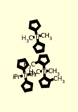 CC1=[C]([Ti]([CH3])([CH3])[C]2=C(C)C=CC2)CC=C1.C[CH](C)[Ti]([C]1=CC=CC1)([C]1=CC=CC1)[CH](C)C.[CH3][Ti]([CH3])([C]1=CC=CC1)[C]1=CC=CC1